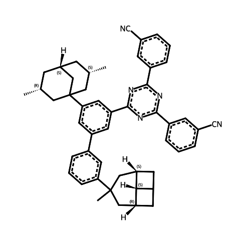 C[C@@H]1C[C@@H]2C[C@H](C)CC(c3cc(-c4cccc(C5(C)C[C@H]6CC7C[C@@H](C5)[C@H]76)c4)cc(-c4nc(-c5cccc(C#N)c5)nc(-c5cccc(C#N)c5)n4)c3)(C1)C2